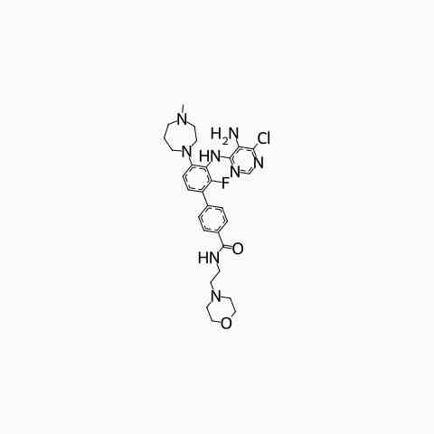 CN1CCCN(c2ccc(-c3ccc(C(=O)NCCN4CCOCC4)cc3)c(F)c2Nc2ncnc(Cl)c2N)CC1